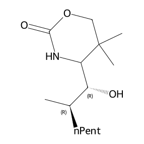 CCCCC[C@@H](C)[C@@H](O)C1NC(=O)OCC1(C)C